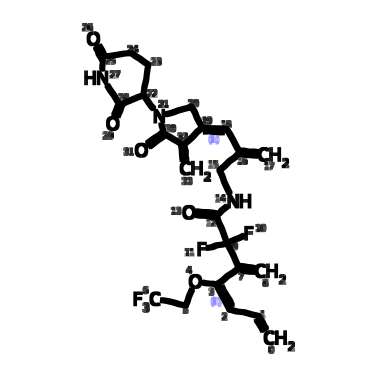 C=C/C=C(/OCC(F)(F)F)C(=C)C(F)(F)C(=O)NCC(=C)/C=C1/CN(C2CCC(=O)NC2=O)C(=O)C1=C